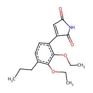 CCCc1ccc(C2=CC(=O)NC2=O)c(OCC)c1OCC